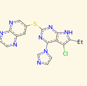 CCc1[nH]c2nc(Sc3cnc4nccnc4c3)nc(-n3ccnc3)c2c1Cl